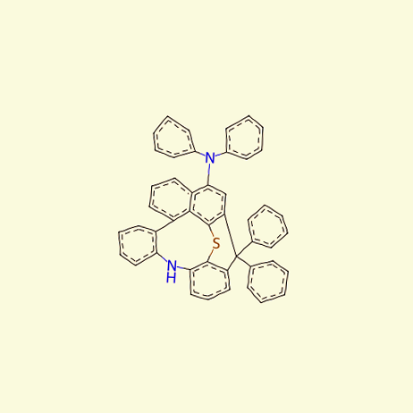 c1ccc(N(c2ccccc2)c2cc3c4c5c(cccc25)-c2ccccc2Nc2cccc(c2S4)C3(c2ccccc2)c2ccccc2)cc1